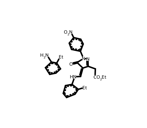 CCOC(=O)CC1=NN(c2ccc([N+](=O)[O-])cc2)C(=O)C1=CNc1ccccc1CC.CCc1ccccc1N